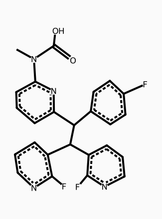 CN(C(=O)O)c1cccc(C(c2ccc(F)cc2)C(c2cccnc2F)c2cccnc2F)n1